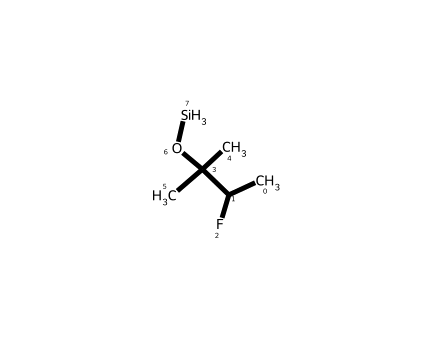 CC(F)C(C)(C)O[SiH3]